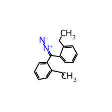 CCc1ccccc1C(=[N+]=[N-])c1ccccc1CC